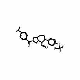 CC(C)c1ccc(C(=O)N2CC3CCN(c4ccc(OC(F)(F)F)cc4)C(C=O)C3C2)cc1